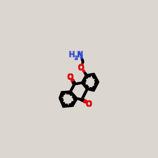 NCOc1cccc2c1C(=O)c1ccccc1C2=O